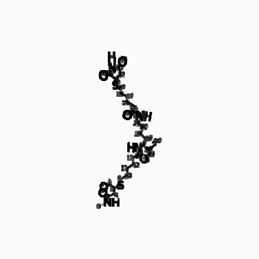 CNC(=O)CC(C=O)SCCCCCC(=O)NC(CCCCNC(=O)CCCCCSC1CC(=O)NC1=O)C(C)C